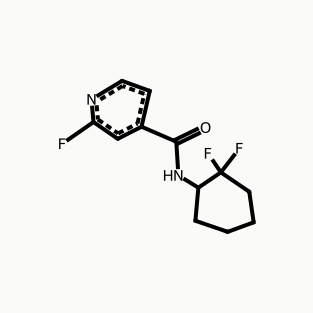 O=C(NC1CCCCC1(F)F)c1ccnc(F)c1